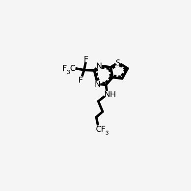 FC(F)(F)CCCNc1nc(C(F)(F)C(F)(F)F)nc2sccc12